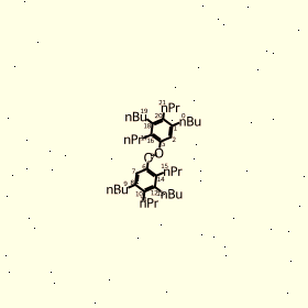 CCCCc1cc(OOc2cc(CCCC)c(CCC)c(CCCC)c2CCC)c(CCC)c(CCCC)c1CCC